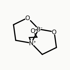 C1C[N+]23CCO[B-]2(O1)OCC3